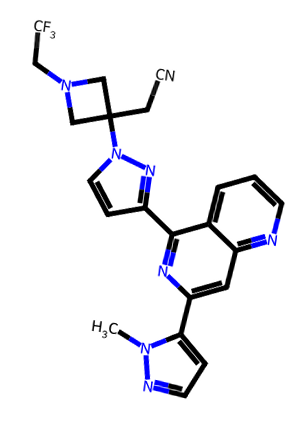 Cn1nccc1-c1cc2ncccc2c(-c2ccn(C3(CC#N)CN(CC(F)(F)F)C3)n2)n1